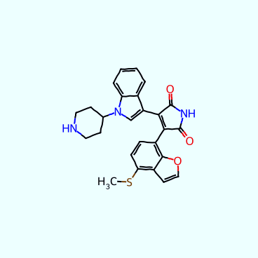 CSc1ccc(C2=C(c3cn(C4CCNCC4)c4ccccc34)C(=O)NC2=O)c2occc12